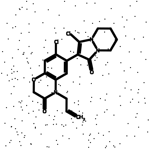 C=CCN1C(=O)COc2cc(Cl)c(-c3c(Cl)n4n(c3=O)CCCC4)cc21